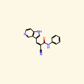 N#CC(=Cc1c[nH]c2ccncc12)C(=O)Nc1ccccc1